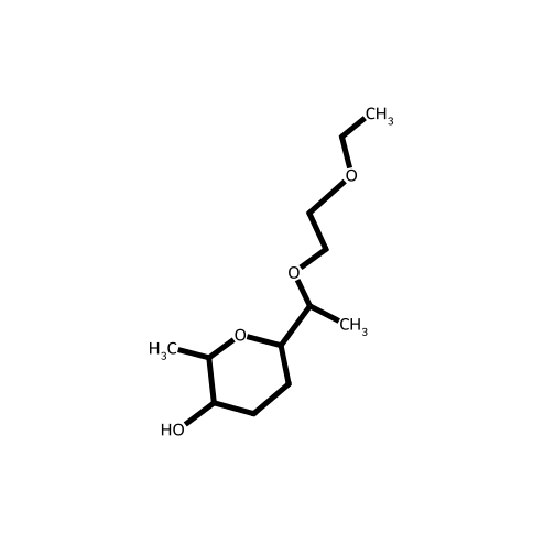 CCOCCOC(C)C1CCC(O)C(C)O1